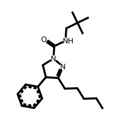 CCCCCC1=NN(C(=O)NCC(C)(C)C)CC1c1ccccc1